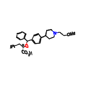 COCCN1CCC(c2ccc(C(O[C@@H](CC(C)C)C(=O)O)c3ccccc3)cc2)CC1